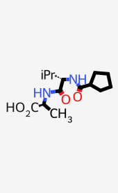 CC(C)[C@H](NC(=O)C1CCCC1)C(=O)N[C@@H](C)C(=O)O